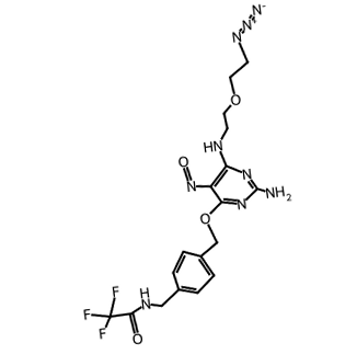 [N-]=[N+]=NCCOCCNc1nc(N)nc(OCc2ccc(CNC(=O)C(F)(F)F)cc2)c1N=O